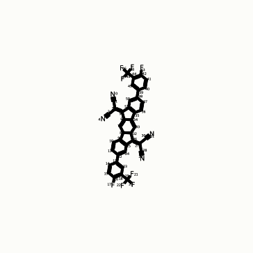 N#CC(C#N)=C1C2=CC3c4ccc(-c5ccc(F)c(C(F)(F)F)c5)cc4C(=C(C#N)C#N)C3C=C2c2ccc(-c3ccc(F)c(C(F)(F)F)c3)cc21